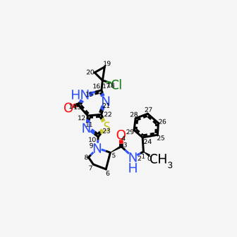 C[C@@H](NC(=O)[C@H]1CCCN1c1nc2c(=O)[nH]c(C3(Cl)CC3)nc2s1)c1ccccc1